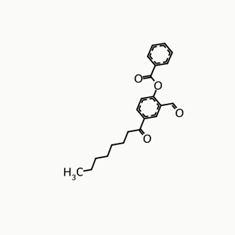 CCCCCCCC(=O)c1ccc(OC(=O)c2ccccc2)c(C=O)c1